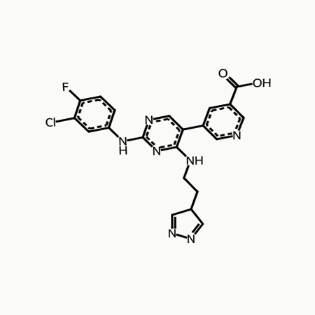 O=C(O)c1cncc(-c2cnc(Nc3ccc(F)c(Cl)c3)nc2NCCC2C=NN=C2)c1